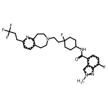 Cn1cc2c(C(=O)NC3CCC(F)(CCN4CCc5ccc(CCC(F)(F)F)nc5CC4)CC3)ccc(F)c2n1